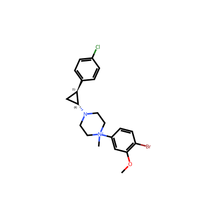 COc1cc([N+]2(C)CCN([C@@H]3C[C@H]3c3ccc(Cl)cc3)CC2)ccc1Br